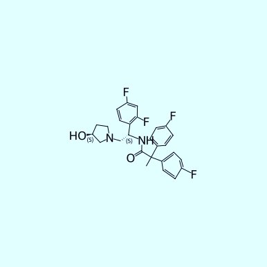 CC(C(=O)N[C@H](CN1CC[C@H](O)C1)c1ccc(F)cc1F)(c1ccc(F)cc1)c1ccc(F)cc1